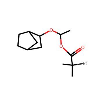 CCC(C)(C)C(=O)OC(C)OC1CC2CCC1C2